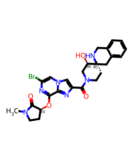 CN1CC[C@H](Oc2nc(Br)cn3cc(C(=O)N4CC[C@]5(Cc6ccccc6CN5)[C@H](O)C4)nc23)C1=O